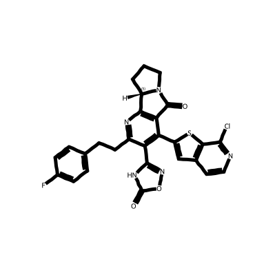 O=C1c2c(nc(CCc3ccc(F)cc3)c(-c3noc(=O)[nH]3)c2-c2cc3ccnc(Cl)c3s2)[C@@H]2CCCN12